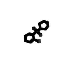 O=S(=O)(c1ccccc1Cl)N1CCOCC1